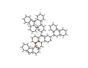 c1ccc(-c2ccc(-c3cc4ccccc4c4ccccc34)cc2N(c2ccc(-c3ccccc3-n3c4ccccc4c4ccccc43)cc2)c2cccc(-c3cccc4oc5ccccc5c34)c2)cc1